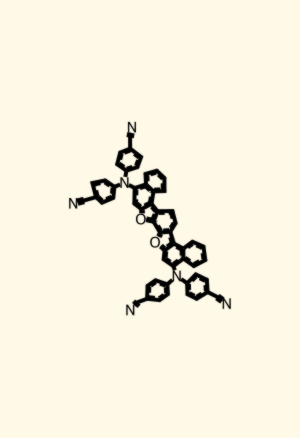 N#Cc1ccc(N(c2ccc(C#N)cc2)c2cc3oc4c(ccc5c4oc4cc(N(c6ccc(C#N)cc6)c6ccc(C#N)cc6)c6ccccc6c45)c3c3ccccc23)cc1